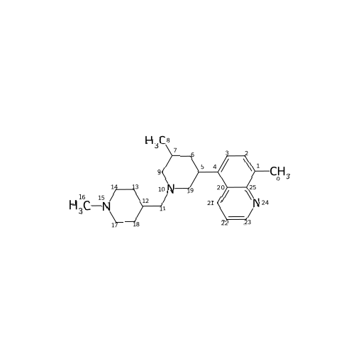 Cc1ccc(C2CC(C)CN(CC3CCN(C)CC3)C2)c2cccnc12